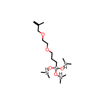 C=C(C)COCCOCCC[Si](O[SiH](C)C)(O[SiH](C)C)O[SiH](C)C